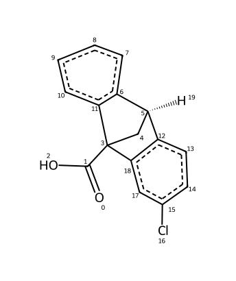 O=C(O)C12C[C@@H](c3ccccc31)c1ccc(Cl)cc12